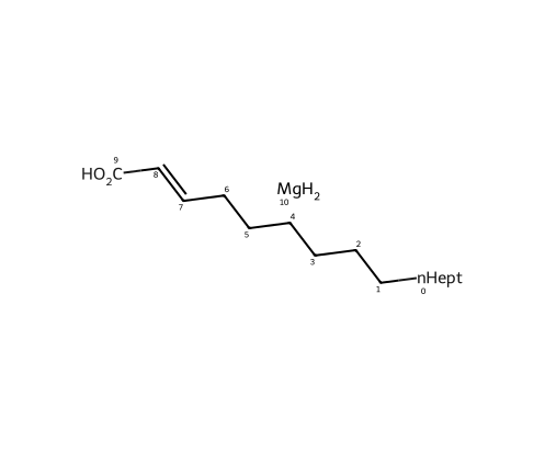 CCCCCCCCCCCCCC=CC(=O)O.[MgH2]